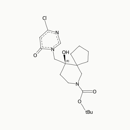 CC(C)(C)OC(=O)N1CC[C@](O)(Cn2cnc(Cl)cc2=O)C2(CCCC2)C1